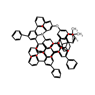 CC(C)(C)c1cc(Nc2c(-c3ccccc3)cc(-c3ccccc3)cc2-c2ccccc2)cc(Oc2cccc(N(c3cc(N(c4ccccc4)c4c(-c5ccccc5)cc(-c5ccccc5)cc4-c4ccccc4)cc(N4C5CC6CC(C5)CC4C6)c3)c3c(-c4ccccc4)cc(-c4ccccc4)cc3-c3ccccc3)c2)c1